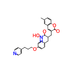 Cc1ccc2oc(=O)c(CC(Cc3ccc(OCCCc4ccncc4)cc3)C(=O)NO)cc2c1